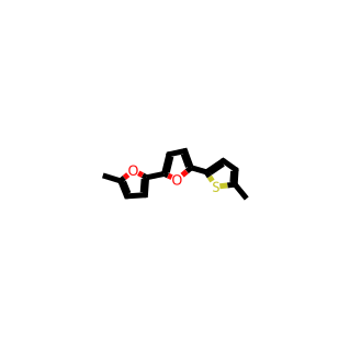 Cc1ccc(-c2ccc(-c3ccc(C)s3)o2)o1